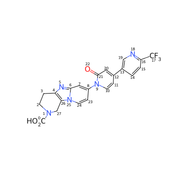 O=C(O)N1CCc2nc3cc(-n4ccc(-c5ccc(C(F)(F)F)nc5)cc4=O)ccn3c2C1